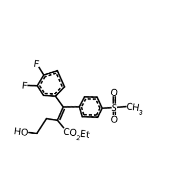 CCOC(=O)/C(CCO)=C(\c1ccc(S(C)(=O)=O)cc1)c1ccc(F)c(F)c1